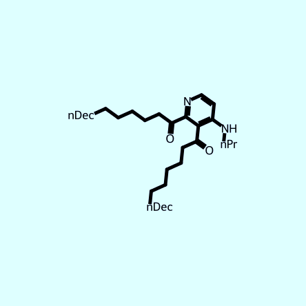 CCCCCCCCCCCCCCCC(=O)c1nccc(NCCC)c1C(=O)CCCCCCCCCCCCCCC